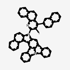 Ic1c(-n2c3ccc4ccccc4c3c3c4c5ccccc5n5c6ccccc6c(cc32)c45)nc2c(ccc3ccccc32)c1-c1ccc2ccccc2c1